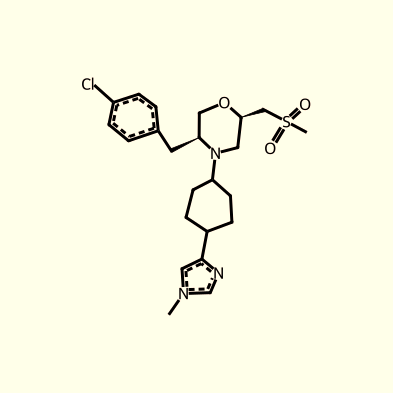 Cn1cnc(C2CCC(N3C[C@H](CS(C)(=O)=O)OC[C@@H]3Cc3ccc(Cl)cc3)CC2)c1